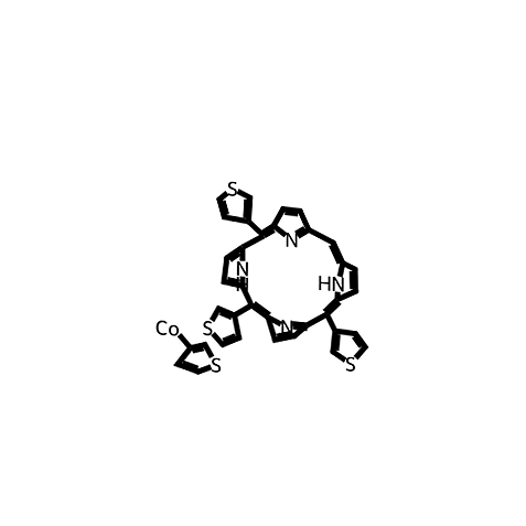 C1=Cc2nc1cc1ccc([nH]1)c(-c1ccsc1)c1nc(c(-c3ccsc3)c3ccc([nH]3)c2-c2ccsc2)C=C1.[Co][c]1ccsc1